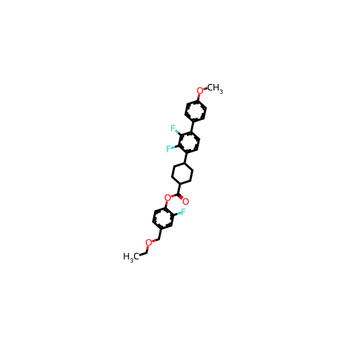 CCOCc1ccc(OC(=O)C2CCC(c3ccc(-c4ccc(OC)cc4)c(F)c3F)CC2)c(F)c1